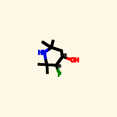 CC1(C)C[C@@H](O)[C@@H](F)C(C)(C)N1